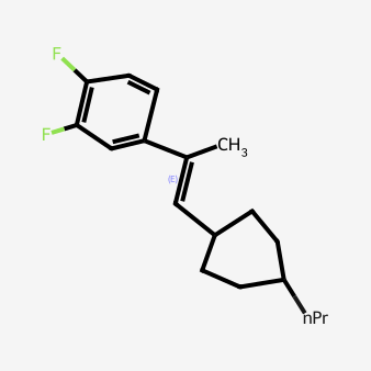 CCCC1CCC(/C=C(\C)c2ccc(F)c(F)c2)CC1